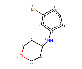 Brc1cccc(NC2CCOCC2)c1